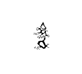 Cc1ccc(CNC(=O)c2cn3c(c(O)c2=O)C(=O)N2CCCC[C@H]3C2)c(Cl)c1